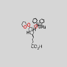 CC(C)(C)[Si](OC[C@@H]1[C@H]2C/C(=C/CCCC(=O)O)C[C@H]2C[C@H]1OC1CCCCO1)(c1ccccc1)c1ccccc1